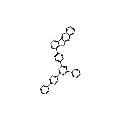 c1ccc(-c2ccc(-c3nc(-c4ccccc4)nc(-c4ccc(-c5nnnc6c5sc5nc7ccccc7cc56)cc4)n3)cc2)cc1